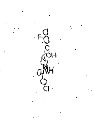 O=C(NN1CCN(C[C@@H](O)COc2ccc(Cl)c(F)c2)CC1)c1ccc(Cl)cc1